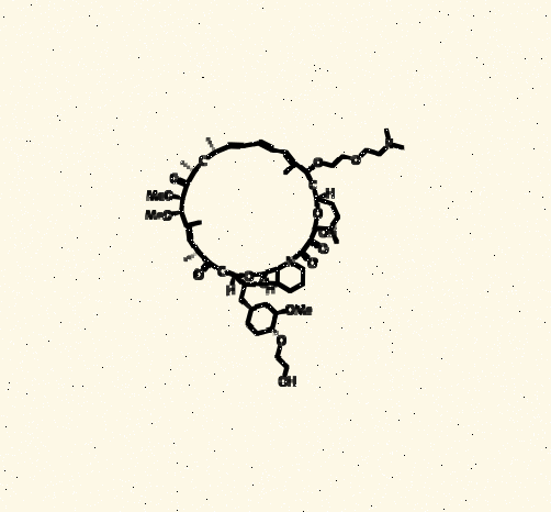 CO[C@@H]1/C(C)=C/[C@@H](C)C(=O)C[C@@H]2OC(=O)C3[C@H](CCCN3C(=O)C(=O)[C@]3(O)O[C@@H](CC[C@H]3C)CC(OCCOCCN(C)C)/C(C)=C/C=C/C=C/[C@@H](C)C[C@@H](C)C(=O)[C@@H]1OC)C2C[C@@H]1CC[C@@H](OCCO)[C@H](OC)C1